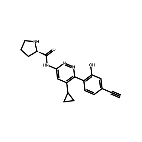 C#Cc1ccc(-c2nnc(NC(=O)[C@H]3CCCN3)cc2C2CC2)c(O)c1